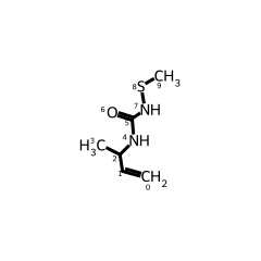 C=CC(C)NC(=O)NSC